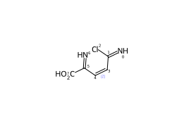 N=C(Cl)/C=C\C(=N)C(=O)O